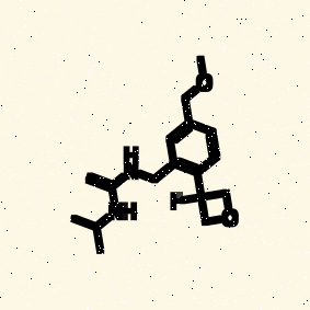 C=C(NCc1cc(COC)ccc1C1(F)COC1)NC(C)C